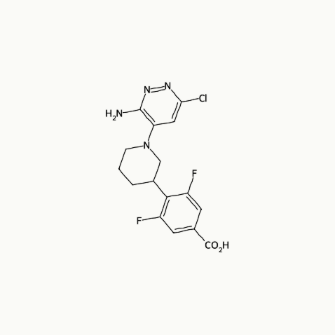 Nc1nnc(Cl)cc1N1CCCC(c2c(F)cc(C(=O)O)cc2F)C1